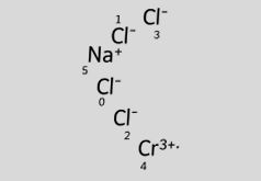 [Cl-].[Cl-].[Cl-].[Cl-].[Cr+3].[Na+]